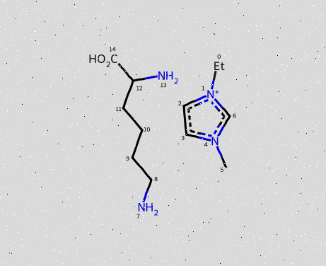 CC[n+]1ccn(C)c1.NCCCCC(N)C(=O)O